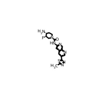 Cc1nnc(-c2cnc3cnc(NC(=O)N4CC[C@@H](N)[C@H](F)C4)cc3c2)s1